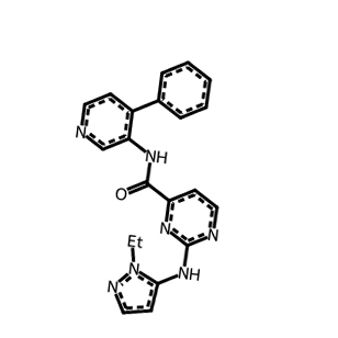 CCn1nccc1Nc1nccc(C(=O)Nc2cnccc2-c2ccccc2)n1